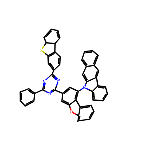 C1=CC2Sc3cc(-c4nc(-c5ccccc5)nc(-c5cc(-n6c7ccccc7c7cc8ccccc8cc76)c6c(c5)oc5ccccc56)n4)ccc3C2C=C1